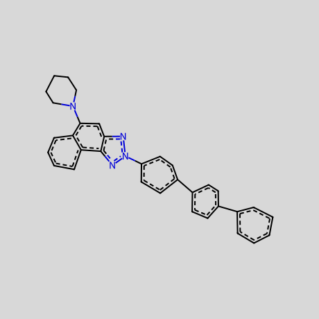 c1ccc(-c2ccc(-c3ccc(-n4nc5cc(N6CCCCC6)c6ccccc6c5n4)cc3)cc2)cc1